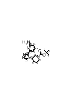 CC(C)(C)OC(=O)N1CCC[C@@H](n2cnnc2-c2cccc(N)n2)C1